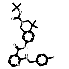 CC(C)(C)OC(=O)N1Cc2cc(NC(=O)c3cccnc3NCc3ccc(F)cc3)ccc2C(C)(C)C1